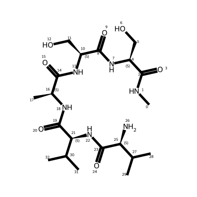 CNC(=O)[C@H](CO)NC(=O)[C@H](CO)NC(=O)[C@H](C)NC(=O)[C@@H](NC(=O)[C@@H](N)C(C)C)C(C)C